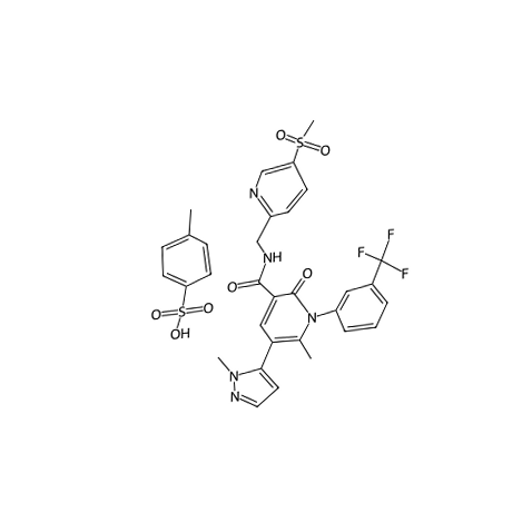 Cc1c(-c2ccnn2C)cc(C(=O)NCc2ccc(S(C)(=O)=O)cn2)c(=O)n1-c1cccc(C(F)(F)F)c1.Cc1ccc(S(=O)(=O)O)cc1